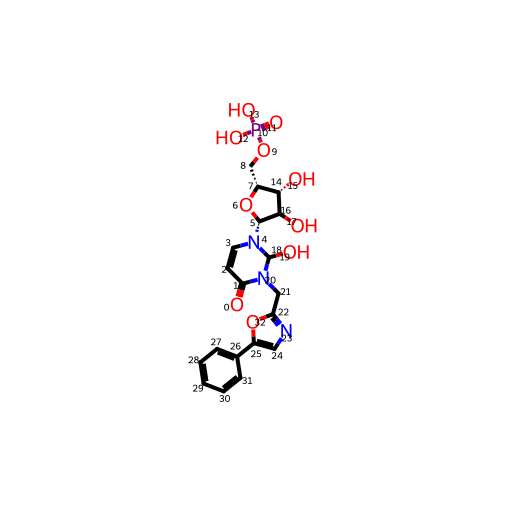 O=C1C=CN([C@@H]2O[C@H](COP(=O)(O)O)[C@H](O)C2O)C(O)N1Cc1ncc(-c2ccccc2)o1